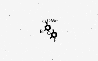 COC(=O)c1ccc(Oc2c(C)ccc(F)c2C)c(Br)c1